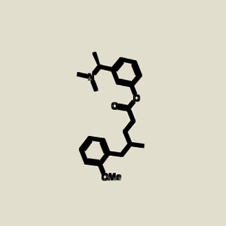 COc1ccccc1CC(C)CCC(=O)Oc1cccc([C@H](C)N(C)C)c1